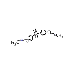 C/C=C/COc1ccc(-c2nnc(-c3ccc(OC/C=C/C)cc3)o2)cc1